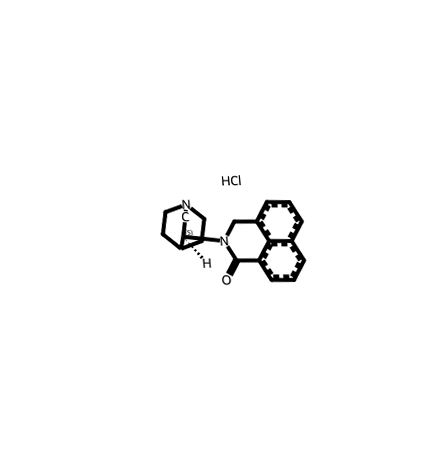 Cl.O=C1c2cccc3cccc(c23)CN1[C@@H]1CN2CCC1CC2